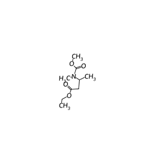 CCOC(=O)CC(C)N(C)C(=O)OC